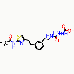 CC(=O)Nc1nc(CCc2cccc(CCNC(=O)NNC(=O)O)c2)cs1